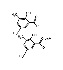 Cc1cc(C)c(O)c(C(=O)[O-])c1.Cc1cc(C)c(O)c(C(=O)[O-])c1.[Zn+2]